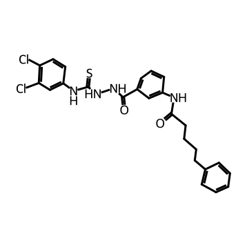 O=C(CCCCc1ccccc1)Nc1cccc(C(=O)NNC(=S)Nc2ccc(Cl)c(Cl)c2)c1